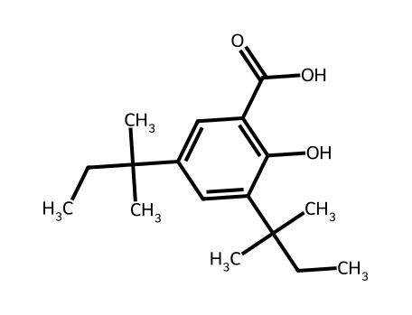 CCC(C)(C)c1cc(C(=O)O)c(O)c(C(C)(C)CC)c1